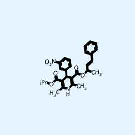 CC1=C(C(=O)OC(C)C)C(c2cccc([N+](=O)[O-])c2)C(C(=O)OC(C)/C=C/c2ccccc2)=C(C)N1